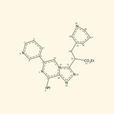 CCCc1nc(-c2cccnc2)cn2c(C(Cc3cccnc3)C(=O)OCC)nnc12